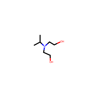 CC(C)N(CCO)CCO